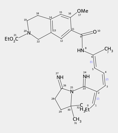 CC/C=C(/C=C\C=C(/C)NC(=O)c1cc2c(cc1OC)CCN(C(=O)OCC)C2)C(=N)N1C(=N)CCC1(C)C